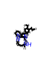 C=CCC1=C(CC)CCC(C)(c2ccc3c(n2)/C=C/NC(C)CCCC/N=C\3N2CCCCC2)C1